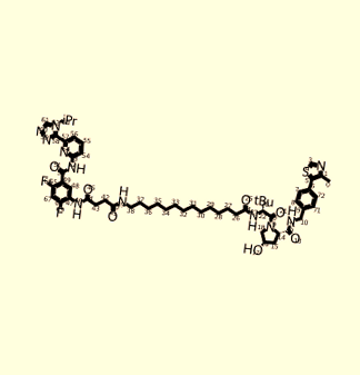 Cc1ncsc1-c1ccc(CNC(=O)[C@@H]2C[C@@H](O)CN2C(=O)[C@H](NC(=O)CCCCCCCCCCCCCNC(=O)CCC(=O)Nc2cc(C(=O)Nc3cccc(-c4nncn4C(C)C)n3)c(F)cc2F)C(C)(C)C)cc1